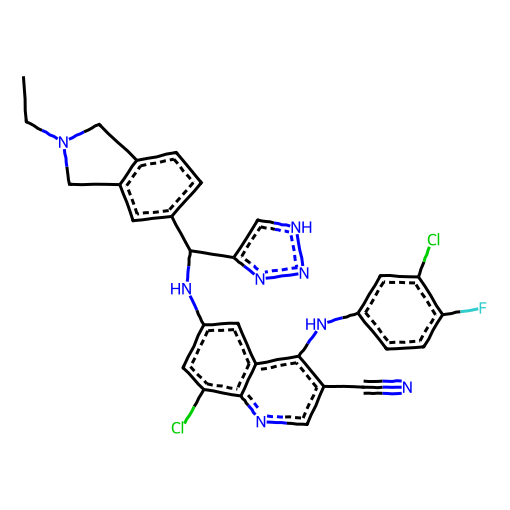 CCN1Cc2ccc(C(Nc3cc(Cl)c4ncc(C#N)c(Nc5ccc(F)c(Cl)c5)c4c3)c3c[nH]nn3)cc2C1